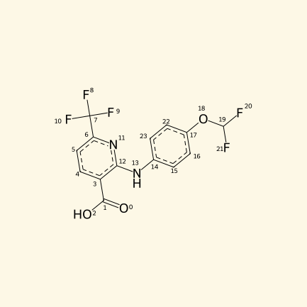 O=C(O)c1ccc(C(F)(F)F)nc1Nc1ccc(OC(F)F)cc1